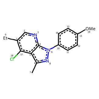 CCc1cnc2c(c(C)nn2-c2ccc(OC)cc2)c1Cl